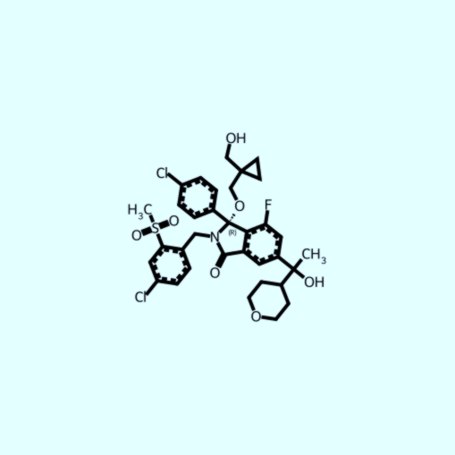 CC(O)(c1cc(F)c2c(c1)C(=O)N(Cc1ccc(Cl)cc1S(C)(=O)=O)[C@@]2(OCC1(CO)CC1)c1ccc(Cl)cc1)C1CCOCC1